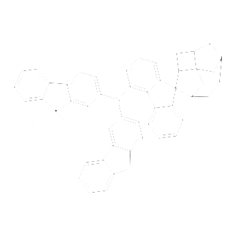 CC1(C)c2ccccc2-c2ccc(N(c3ccc4sc5ccccc5c4c3)c3cccc4c3-c3ccccc3C43C4CCC5CC6CC3C6(C5)C4)cc21